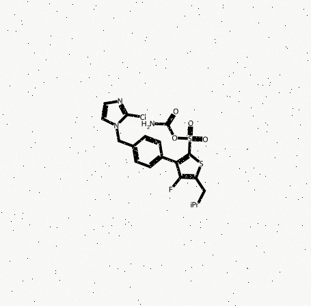 CC(C)Cc1sc(S(=O)(=O)OC(N)=O)c(-c2ccc(Cn3ccnc3Cl)cc2)c1F